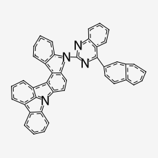 c1ccc2cc(-c3nc(-n4c5ccccc5c5c6c7cccc8c9ccccc9n(c6ccc54)c87)nc4ccccc34)ccc2c1